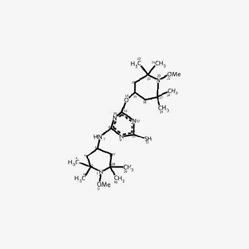 CON1C(C)(C)CC(Nc2nc(S)nc(OC3CC(C)(C)N(OC)C(C)(C)C3)n2)CC1(C)C